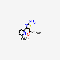 COC(=O)c1sc(N)nc1-c1cccc(OC)n1